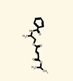 CC(COC(=O)/C=C/C(=O)OC(C)C)NC(=O)c1ccccc1